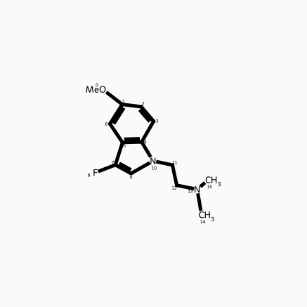 COc1ccc2c(c1)c(F)cn2CCN(C)C